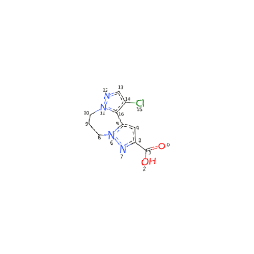 O=C(O)c1cc2n(n1)CCCn1ncc(Cl)c1-2